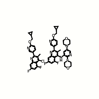 Cc1c(-c2ccc(OCC3CC3)nc2)nc2cc(F)cc(F)c2c1Cl.Cc1c(-c2ccc(OCC3CC3)nc2)nc2cc(F)cc(F)c2c1Nc1cc(N2CCOCC2)cnc1N1CCOCC1